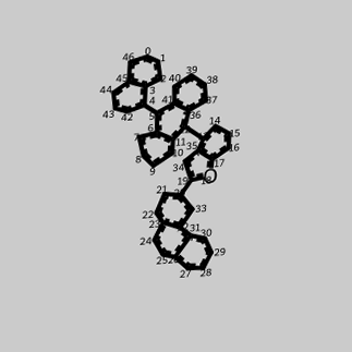 c1ccc2c(-c3c4ccccc4c(-c4cccc5oc(-c6ccc7ccc8ccccc8c7c6)cc45)c4ccccc34)cccc2c1